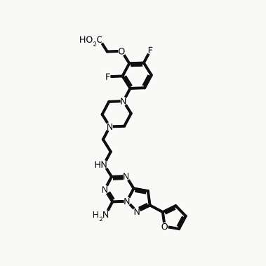 Nc1nc(NCCN2CCN(c3ccc(F)c(OCC(=O)O)c3F)CC2)nc2cc(-c3ccco3)nn12